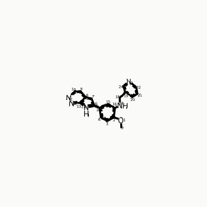 COc1ccc(-c2cc3ccnnc3[nH]2)cc1NCc1cccnc1